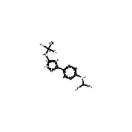 FC(F)Oc1ccc(-c2nnc(SC(F)(F)Br)s2)cc1